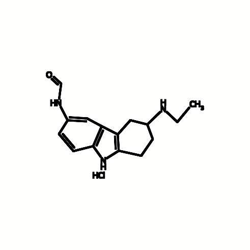 CCNC1CCc2[nH]c3ccc(NC=O)cc3c2C1.Cl